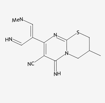 CN/C=C(\C=N)c1nc2n(c(=N)c1C#N)CC(C)CS2